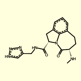 CN[C@H]1CCc2cccc3c2N(C1=O)[C@H](C(=O)NCc1c[nH]nn1)C3